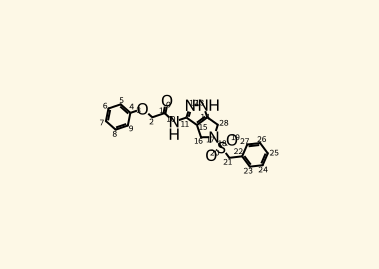 O=C(COc1ccccc1)Nc1n[nH]c2c1CN(S(=O)(=O)Cc1ccccc1)C2